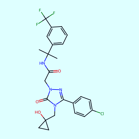 CC(C)(NC(=O)Cn1nc(-c2ccc(Cl)cc2)n(CC2(O)CC2)c1=O)c1cccc(C(F)(F)F)c1